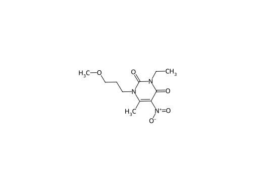 CCn1c(=O)c([N+](=O)[O-])c(C)n(CCCOC)c1=O